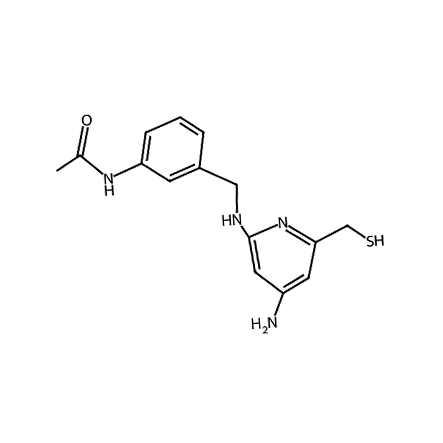 CC(=O)Nc1cccc(CNc2cc(N)cc(CS)n2)c1